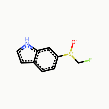 [O-][S+](CF)c1ccc2cc[nH]c2c1